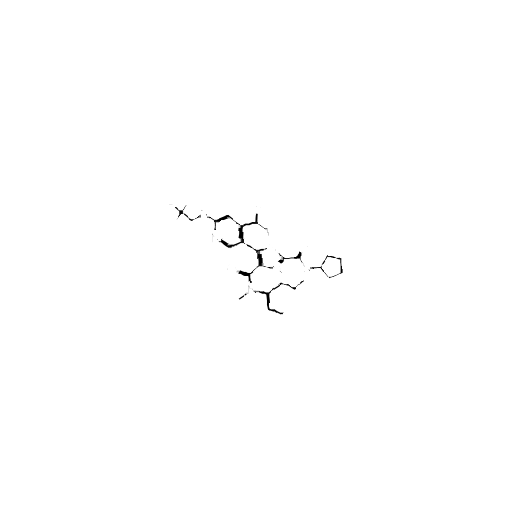 CCCC(CC)N(C)C(=O)c1nc(C(=O)NC2CCCC2)sc1-c1cnc(NCC(F)(F)F)cc1C(F)F